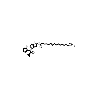 CCCCCCCCCCCCCCCC(=O)Oc1cc2c(s1)CCN(C(C(=O)C1CC1)c1ccccc1F)C2